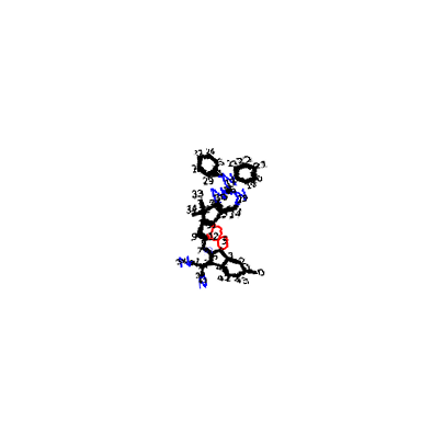 CC1C=C2C(=O)/C(=C\c3cc4c(o3)-c3cnc(N(c5ccccc5)c5ccccc5)nc3C4(C)C)C(=C(C#N)C#N)C2=CC1